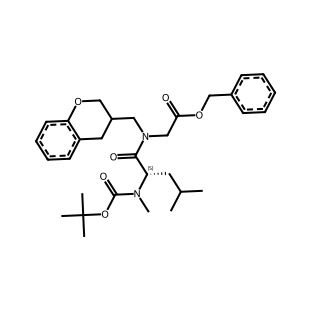 CC(C)C[C@@H](C(=O)N(CC(=O)OCc1ccccc1)CC1COc2ccccc2C1)N(C)C(=O)OC(C)(C)C